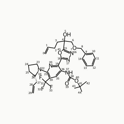 C=CCCC(O)(COCc1ccccc1)c1nnc(-c2nc(N3CCC[C@H]3CC=C)c(C(F)(F)F)cc2NC(=O)OC(C)(C)C)o1